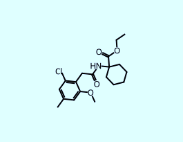 CCOC(=O)C1(NC(=O)Cc2c(Cl)cc(C)cc2OC)CCCCC1